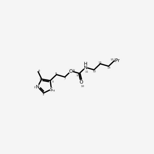 Cc1ncsc1CCOC(=O)NCCCC(C)C